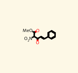 COC(=O)C(C(=O)C=Cc1ccccc1)[N+](=O)[O-]